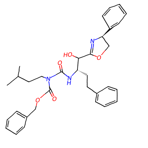 CC(C)CCN(C(=O)N[C@@H](CCc1ccccc1)C(O)C1=N[C@@H](c2ccccc2)CO1)C(=O)OCc1ccccc1